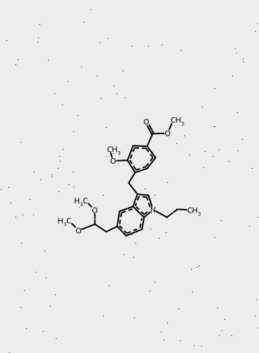 CCCn1cc(Cc2ccc(C(=O)OC)cc2OC)c2cc(CC(OC)OC)ccc21